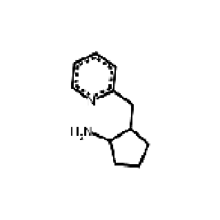 NC1CCCC1Cc1ccccn1